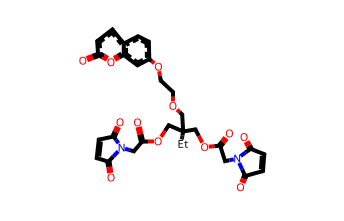 CCC(COCCOc1ccc2ccc(=O)oc2c1)(COC(=O)CN1C(=O)C=CC1=O)COC(=O)CN1C(=O)C=CC1=O